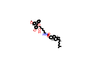 COc1ccc(C(OCCC(O)CCCCCNC(=O)O[C@H]2CC[C@@]3(C)C(=CC[C@H]4[C@@H]5CC[C@H]([C@H](C)CCCC(C)C)[C@@]5(C)CC[C@@H]43)C2)(c2ccccc2)c2ccc(OC)cc2)cc1